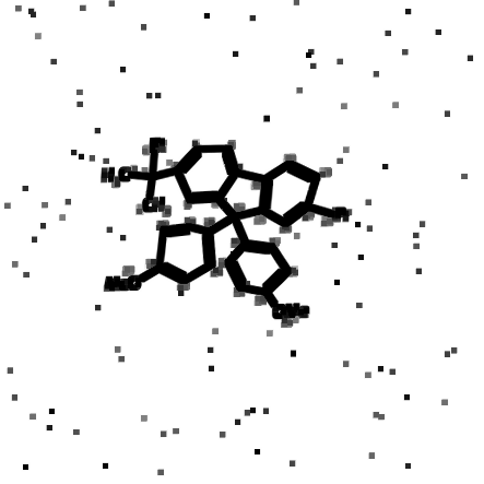 CCC(C)(C)c1ccc2c(c1)C(c1ccc(OC)cc1)(c1ccc(OC)cc1)c1cc(C(C)C)ccc1-2